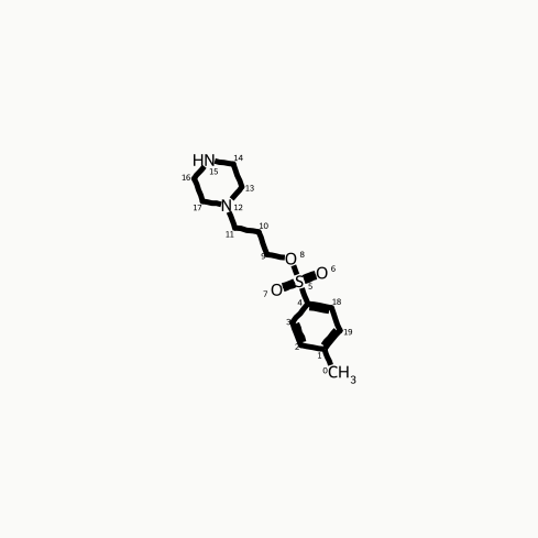 Cc1ccc(S(=O)(=O)OCCCN2CCNCC2)cc1